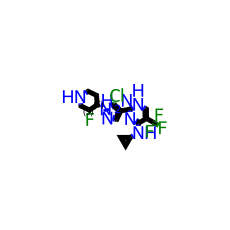 NC1(c2cnn([C@H]3CCNC[C@@H]3F)c2Cl)N=C(NC2CC2)C(C(F)(F)F)=CN1